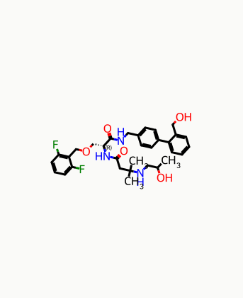 CC(O)CNC(C)(C)CC(=O)N[C@H](COCc1c(F)cccc1F)C(=O)NCc1ccc(-c2ccccc2CO)cc1